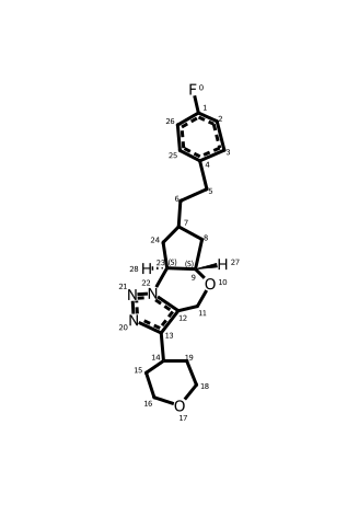 Fc1ccc(CCC2C[C@@H]3OCc4c(C5CCOCC5)nnn4[C@H]3C2)cc1